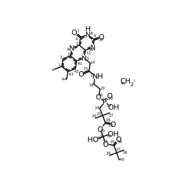 Cc1cc2nc3c(=O)[nH]c(=O)nc-3n(CC(=O)NCCOP(=O)(O)CC(C)(C)C(=O)OC(O)(O)OC(=O)C(C)(C)C)c2cc1C.[CH2]